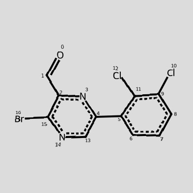 O=Cc1nc(-c2cccc(Cl)c2Cl)cnc1Br